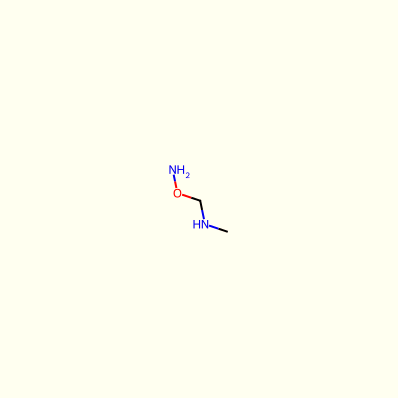 CNCON